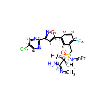 CCCN=S(=O)(Cc1cc(-c2cc(-c3ncc(Cl)cn3)no2)ccc1F)C(C)(C)/C(N)=N\C